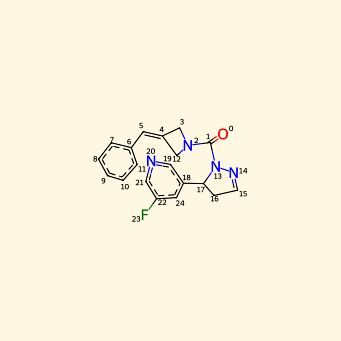 O=C(N1CC(=Cc2ccccc2)C1)N1N=CCC1c1cncc(F)c1